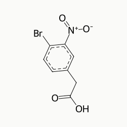 O=C(O)Cc1ccc(Br)c([N+](=O)[O-])c1